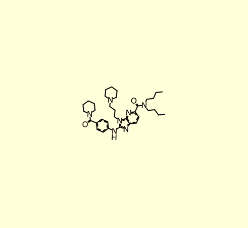 CCCCN(CCCC)C(=O)c1ccc2nc(Nc3ccc(C(=O)N4CCCCC4)cc3)n(CCCN3CCCCC3)c2n1